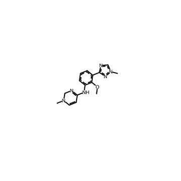 COc1c(NC2=NCN(C)C=C2)cccc1-c1ncn(C)n1